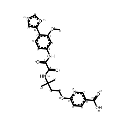 COc1cc(NC(=O)C(=O)NC(C)(C)CCSc2ccc(C(=O)O)cn2)ccc1-c1cnco1